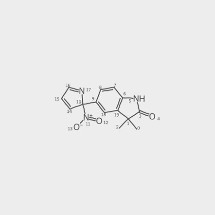 CC1(C)C(=O)Nc2ccc(C3([N+](=O)[O-])C=CC=N3)cc21